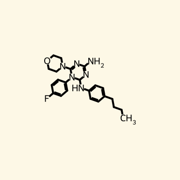 CCCCc1ccc(NC2N=C(N)N=C(N3CCOCC3)N2c2ccc(F)cc2)cc1